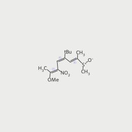 CO/C(C)=C(/C=C(\C=C(/C)[S+](C)[O-])C(C)(C)C)[N+](=O)[O-]